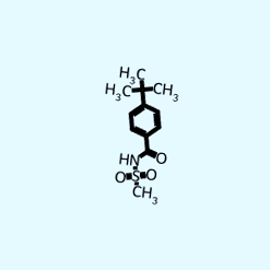 CC(C)(C)c1ccc(C(=O)NS(C)(=O)=O)cc1